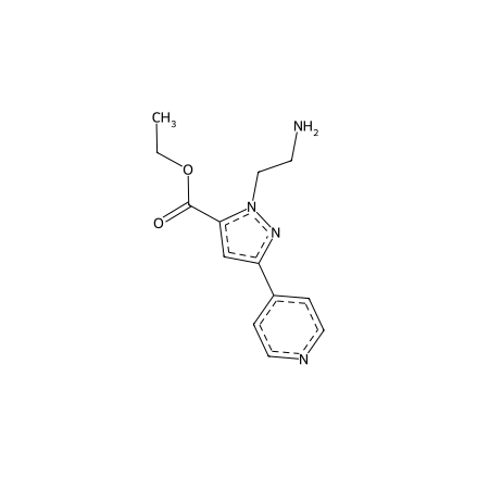 CCOC(=O)c1cc(-c2ccncc2)nn1CCN